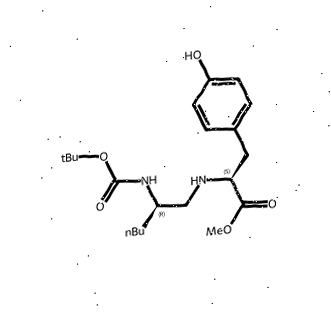 CCCC[C@H](CN[C@@H](Cc1ccc(O)cc1)C(=O)OC)NC(=O)OC(C)(C)C